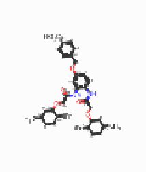 CC1CCC(C(C)C)C(OCC(=O)Nc2ccc(OCc3ccc(C(=O)O)cc3)cc2NC(=O)COC2CC(C)CCC2C(C)C)C1